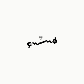 Cc1ccc[n+](CCCCC#CC#CCCCC[n+]2cccc(C)c2)c1.[Cl-].[Cl-]